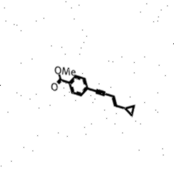 COC(=O)c1ccc(C#CC=CC2CC2)cc1